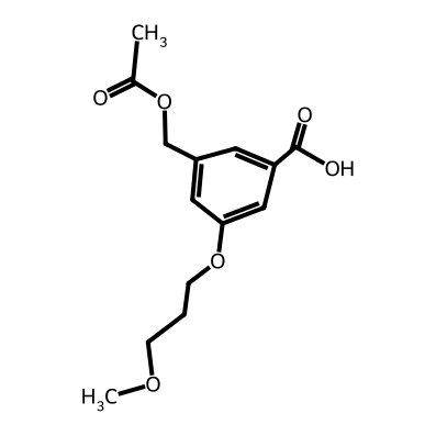 COCCCOc1cc(COC(C)=O)cc(C(=O)O)c1